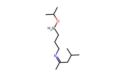 CC(CC(C)C)=NCCC[SiH2]OC(C)C